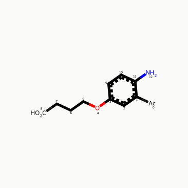 CC(=O)c1cc(OCCCC(=O)O)ccc1N